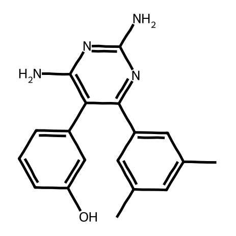 Cc1cc(C)cc(-c2nc(N)nc(N)c2-c2cccc(O)c2)c1